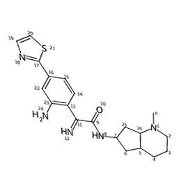 CN1CCCC2CC(NC(=O)C(=N)c3ccc(-c4nccs4)cc3N)CC21